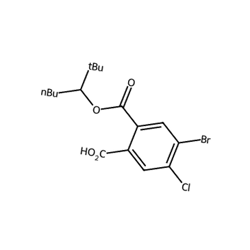 CCCCC(OC(=O)c1cc(Br)c(Cl)cc1C(=O)O)C(C)(C)C